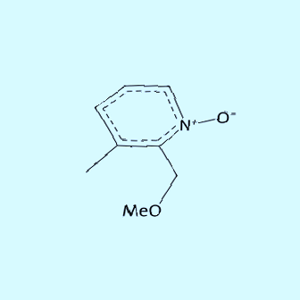 COCc1c(C)ccc[n+]1[O-]